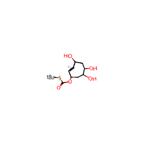 CC(C)(C)SC(=O)OC1/C=C/C(O)CC(O)C(O)C1